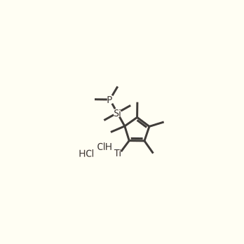 CC1=C(C)C(C)([Si](C)(C)P(C)C)[C]([Ti])=C1C.Cl.Cl